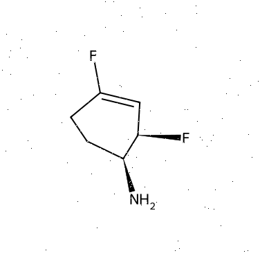 N[C@H]1CCC(F)=C[C@H]1F